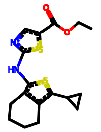 CCOC(=O)c1cnc(Nc2sc(C3CC3)c3c2CCCC3)s1